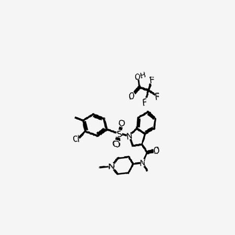 Cc1ccc(S(=O)(=O)N2CC(C(=O)N(C)C3CCN(C)CC3)c3ccccc32)cc1Cl.O=C(O)C(F)(F)F